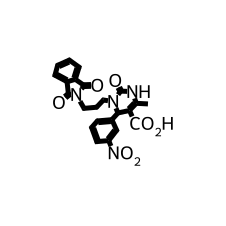 CC1=C(C(=O)O)C(c2cccc([N+](=O)[O-])c2)N(CCCN2C(=O)c3ccccc3C2=O)C(=O)N1